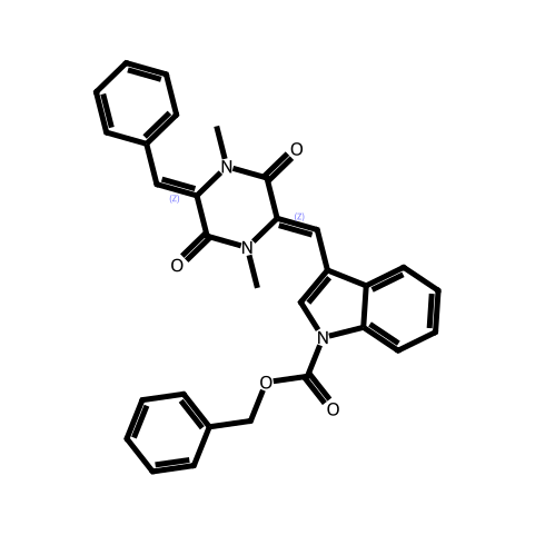 Cn1c(=O)/c(=C/c2cn(C(=O)OCc3ccccc3)c3ccccc23)n(C)c(=O)/c1=C/c1ccccc1